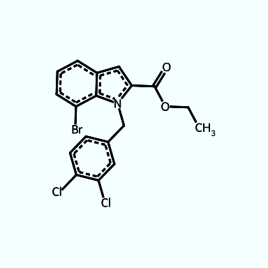 CCOC(=O)c1cc2cccc(Br)c2n1Cc1ccc(Cl)c(Cl)c1